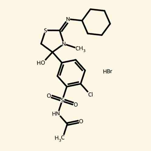 Br.CC(=O)NS(=O)(=O)c1cc(C2(O)CSC(=NC3CCCCC3)N2C)ccc1Cl